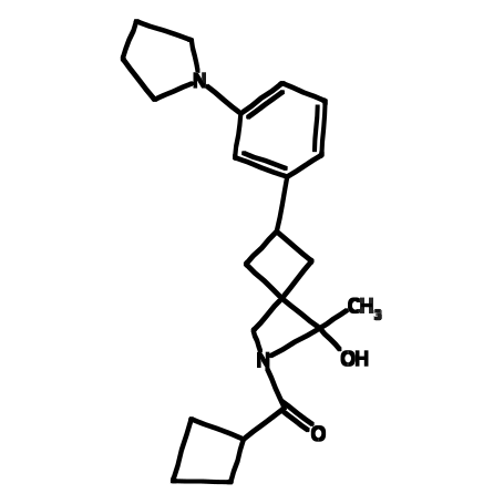 CC1(O)N(C(=O)C2CCC2)CC12CC(c1cccc(N3CCCC3)c1)C2